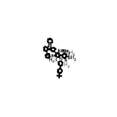 Bc1c(B)c(B)c2c(c1B)c1c(B)c(-c3ccc4c(c3)c3c(-c5ccccc5)cccc3n4-c3ccccc3)c(B)c(B)c1n2-c1ccc(-c2ccc(C(C)(C)C)cc2)cc1